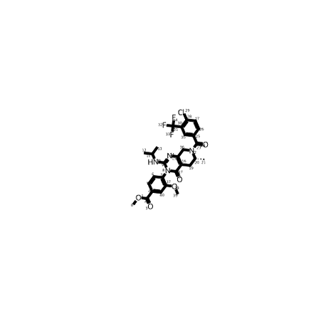 COC(=O)c1ccc(-n2c(NC(C)C)nc3c(c2=O)C[C@@H](C)N(C(=O)c2ccc(Cl)c(C(F)(F)F)c2)C3)c(OC)c1